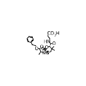 CC(NP1(=O)OCC(C)(C)[C@H](C(=O)NCCC(=O)O)O1)C(=O)OCCc1ccccc1